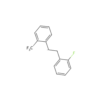 Fc1ccccc1C[CH]c1ccccc1C(F)(F)F